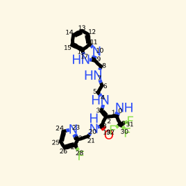 N=C(/C(=C\NCCNCc1nc2ccccc2[nH]1)C(=O)NCc1ncccc1F)C(F)(F)F